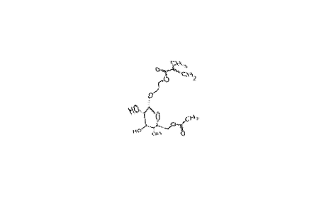 C=C(C)C(=O)OCCO[C@@H]1OC(COC(C)=O)[C@H](O)C(O)[C@@H]1O